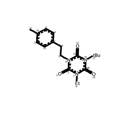 CCn1c(=O)n(CCc2ccc(C)cc2)c(=O)n(C(C)(C)C)c1=O